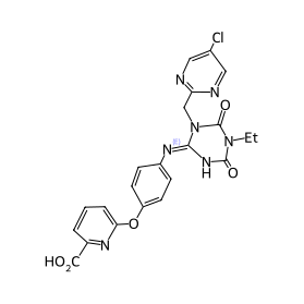 CCn1c(=O)[nH]/c(=N\c2ccc(Oc3cccc(C(=O)O)n3)cc2)n(Cc2ncc(Cl)cn2)c1=O